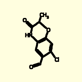 CC1Oc2cc(Cl)c(C=O)cc2NC1=O